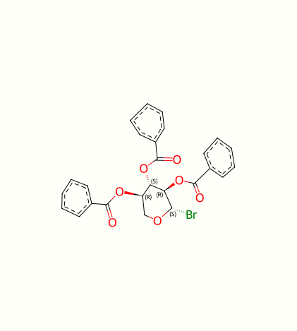 O=C(O[C@@H]1[C@@H](OC(=O)c2ccccc2)[C@H](OC(=O)c2ccccc2)CO[C@H]1Br)c1ccccc1